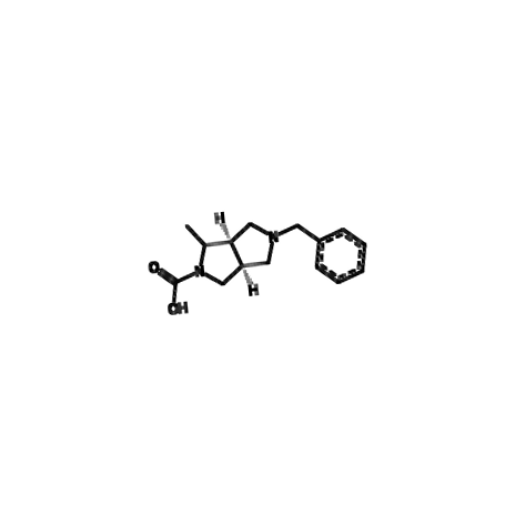 CC1[C@H]2CN(Cc3ccccc3)C[C@H]2CN1C(=O)O